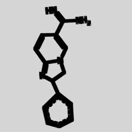 N=C(N)C1=CN2CC(c3ccccc3)N=C2C=C1